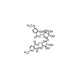 COc1ccc(C(=O)OCC2O[C@H](O[C@H]3OC(COC(=O)c4ccc(C)cc4O)[C@@H](O)[C@H](O)C3O)C(O)[C@@H](O)[C@@H]2O)c(O)c1